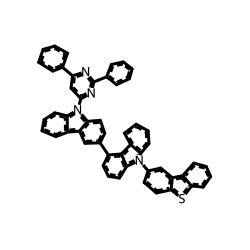 c1ccc(-c2cc(-n3c4ccccc4c4cc(-c5cccc6c5c5ccccc5n6-c5ccc6sc7ccccc7c6c5)ccc43)nc(-c3ccccc3)n2)cc1